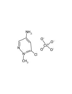 C[n+]1ncc(N)cc1Cl.[O-][Cl+3]([O-])([O-])[O-]